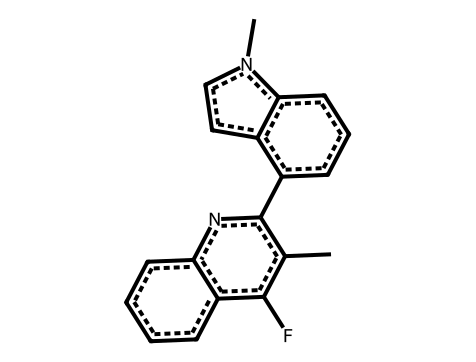 Cc1c(-c2cccc3c2ccn3C)nc2ccccc2c1F